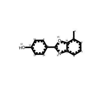 Cc1cccc2nc(-c3ccc(O)cc3)oc12